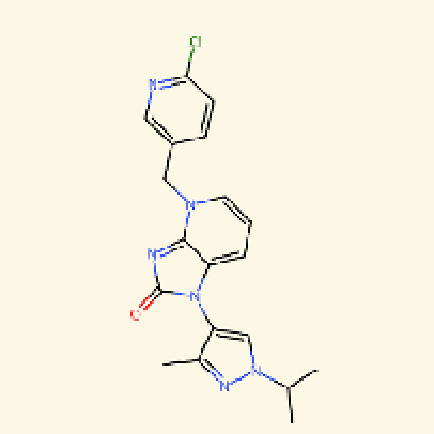 Cc1nn(C(C)C)cc1-n1c2cccn(Cc3ccc(Cl)nc3)c-2nc1=O